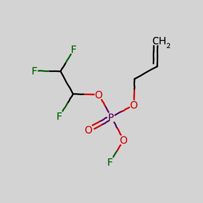 C=CCOP(=O)(OF)OC(F)C(F)F